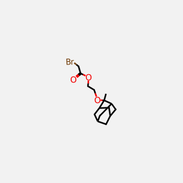 CC1(OCCOC(=O)CBr)C2CC3CC(C2)CC1C3